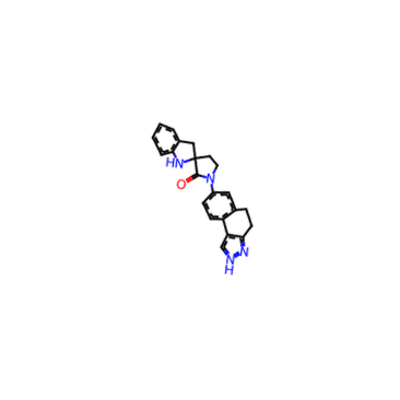 O=C1N(c2ccc3c(c2)CCc2n[nH]cc2-3)CCC12Cc1ccccc1N2